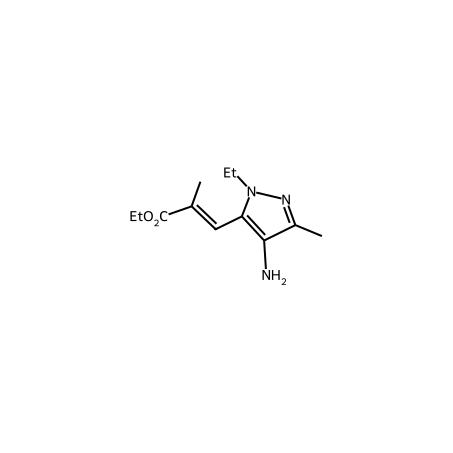 CCOC(=O)/C(C)=C/c1c(N)c(C)nn1CC